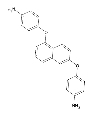 Nc1ccc(Oc2ccc3c(Oc4ccc(N)cc4)cccc3c2)cc1